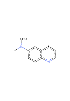 CN(C=O)c1ccc2ncc[c]c2c1